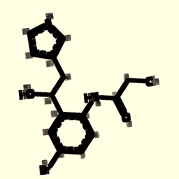 O=C(CCl)Nc1ccc(Br)cc1C(O)Cc1ccsc1